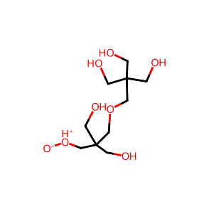 [O-][OH+]CC(CO)(CO)COCC(CO)(CO)CO